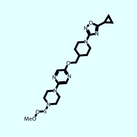 COOSN1CCN(c2cnc(OCC3CCN(c4noc(C5CC5)n4)CC3)cn2)CC1